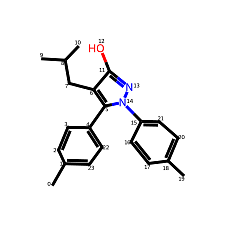 Cc1ccc(-c2c(CC(C)C)c(O)nn2-c2ccc(C)cc2)cc1